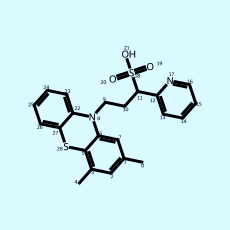 Cc1cc(C)c2c(c1)N(CCC(c1ccccn1)S(=O)(=O)O)c1ccccc1S2